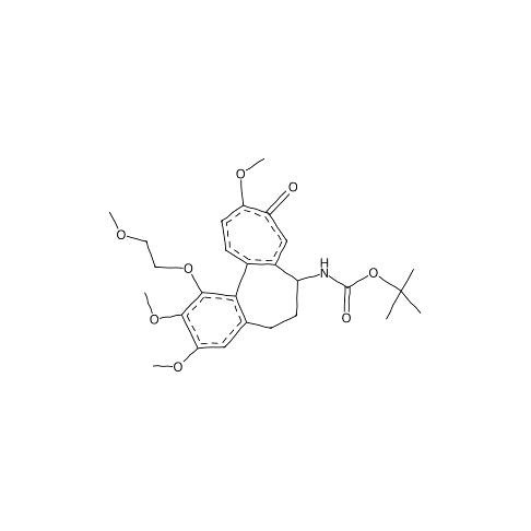 COCCOc1c(OC)c(OC)cc2c1-c1ccc(OC)c(=O)cc1C(NC(=O)OC(C)(C)C)CC2